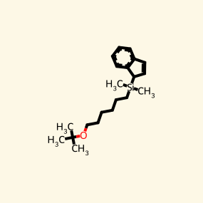 CC(C)(C)OCCCCCC[Si](C)(C)C1C=Cc2ccccc21